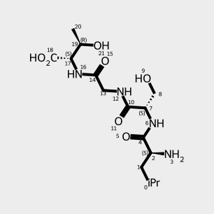 CC(C)C[C@H](N)C(=O)N[C@@H](CO)C(=O)NCC(=O)N[C@H](C(=O)O)[C@@H](C)O